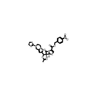 CC(=O)OC(c1cc2n(n1)CCN(C1=NCCS1)C2)[C@]1(Br)C(=O)N2C(C(=O)OCc3ccc([N+](=O)[O-])cc3)=CS[C@H]21